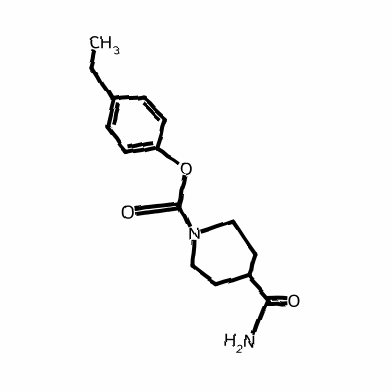 CCc1ccc(OC(=O)N2CCC(C(N)=O)CC2)cc1